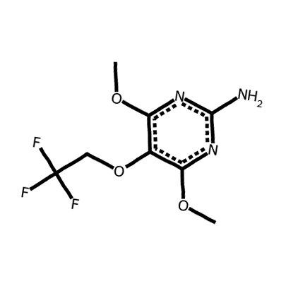 COc1nc(N)nc(OC)c1OCC(F)(F)F